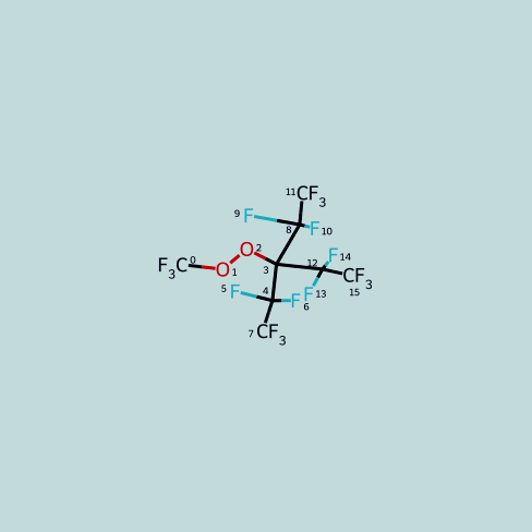 FC(F)(F)OOC(C(F)(F)C(F)(F)F)(C(F)(F)C(F)(F)F)C(F)(F)C(F)(F)F